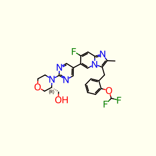 Cc1nc2cc(F)c(-c3cnc(N4CCOC[C@H]4CO)nc3)cn2c1Cc1ccccc1OC(F)F